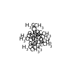 CC1(C)CCC(C(C(=O)NC(C)(C)C)N(C=O)[C@H]2OC[C@@H](OC(=O)C(C)(C)C)[C@@H](OC(=O)C(C)(C)C)[C@@H]2OC(=O)C(C)(C)C)CC1